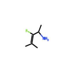 CC(C)=C(F)C(C)N